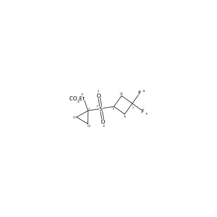 CCOC(=O)C1(S(=O)(=O)C2CC(F)(F)C2)CC1